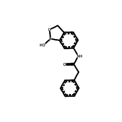 O=C(Cc1ccccc1)Nc1ccc2c(c1)B(O)OC2